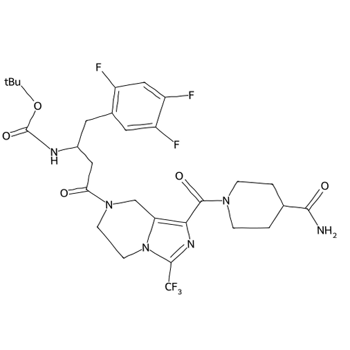 CC(C)(C)OC(=O)NC(CC(=O)N1CCn2c(C(F)(F)F)nc(C(=O)N3CCC(C(N)=O)CC3)c2C1)Cc1cc(F)c(F)cc1F